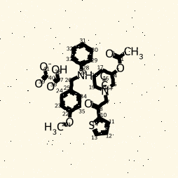 CC(=O)OC1C[N+]2(CC(=O)c3cccs3)CCC1CC2.COc1ccc(CNc2ccccc2)cc1.O=CO.O=C[O-]